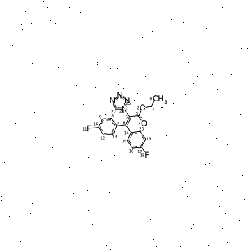 CCOC(=O)C(=C(c1ccc(F)cc1)c1ccc(F)cc1)n1cnnn1